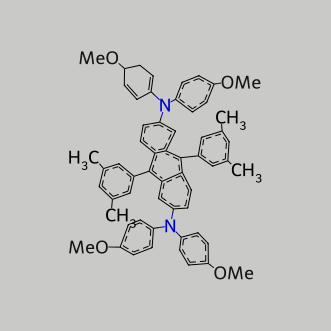 COc1ccc(N(C2=CCC(OC)C=C2)c2ccc3c(-c4cc(C)cc(C)c4)c4cc(N(c5ccc(OC)cc5)c5ccc(OC)cc5)ccc4c(-c4cc(C)cc(C)c4)c3c2)cc1